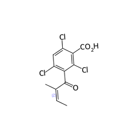 C/C=C(/C)C(=O)c1c(Cl)cc(Cl)c(C(=O)O)c1Cl